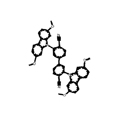 COc1ccc2c3ccc(OC)cc3n(-c3cc(-c4ccc(C#N)c(-n5c6cc(OC)ccc6c6ccc(OC)cc65)c4)ccc3C#N)c2c1